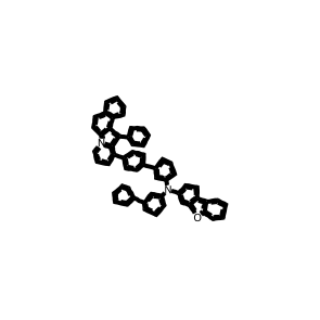 c1ccc(-c2cccc(N(c3cccc(-c4ccc(-c5cccn6c5c(-c5ccccc5)c5c7ccccc7ccc56)cc4)c3)c3ccc4c(c3)oc3ccccc34)c2)cc1